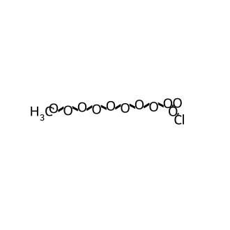 COCCOCCOCCOCCOCCOCCOCCOCCOC(=O)OCCl